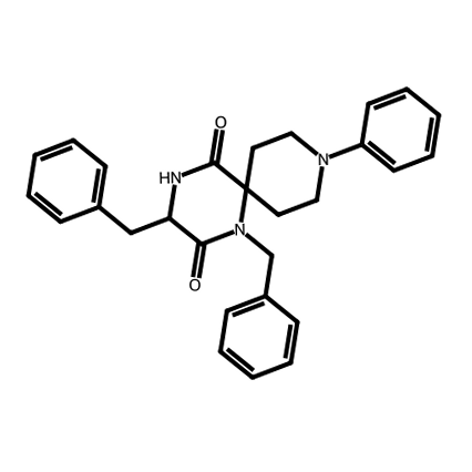 O=C1C(Cc2ccccc2)NC(=O)C2(CCN(c3ccccc3)CC2)N1Cc1ccccc1